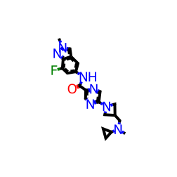 CN(CC1CN(c2cnc(C(=O)Nc3cc(F)c4nn(C)cc4c3)cn2)C1)C1CC1